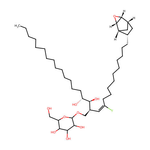 CCCCCCCCCCCCCC[C@@H](O)[C@@H](O)[C@@H](/C=C(/F)CCCCCCCCCC[C@H]1C[C@@H]2C[C@H]1[C@@H]1O[C@H]21)COC1OC(CO)C(O)C(O)C1O